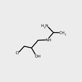 CC(N)NCC(O)CCl